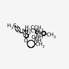 C=C1/C=C\C=C/C[C@H](Oc2ccc3nnc(CN4CCN(C)CC4)n3c2)CC[C@@H]1NC(=O)Nc1cc(C(C)(C)C)nn1-c1ccc(C)cc1